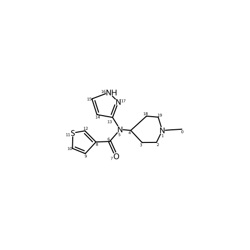 CN1CCC(N(C(=O)c2ccsc2)c2cc[nH]n2)CC1